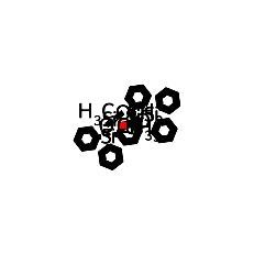 C[Si](C)(O[Si](C)(C)O[Si](c1ccccc1)(c1ccccc1)c1ccccc1)O[Si](c1ccccc1)(c1ccccc1)c1ccccc1